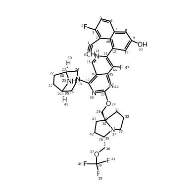 C#Cc1c(F)ccc2cc(O)cc(-c3ncc4c(N5C[C@H]6CC[C@@H](C5)N6)nc(OC[C@@]56CCCN5[C@H](COC(F)(F)F)CC6)nc4c3F)c12